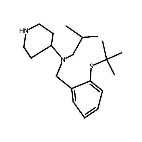 CC(C)CN(Cc1ccccc1SC(C)(C)C)C1CCNCC1